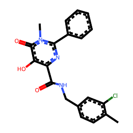 Cc1ccc(CNC(=O)c2nc(-c3ccccc3)n(C)c(=O)c2O)cc1Cl